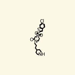 O=C1CN(S(=O)(=O)c2cc3ccc(Cl)cc3s2)CCN1CCCC1CCNCC1